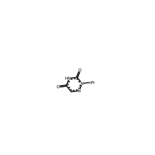 CCCn1ncc(=O)[nH]c1=O